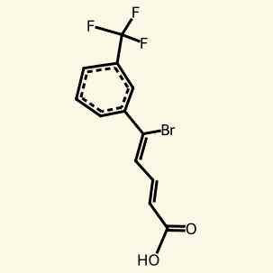 O=C(O)/C=C/C=C(\Br)c1cccc(C(F)(F)F)c1